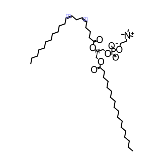 CCCCCCCCCCC/C=C\C/C=C\CCCC(=O)O[C@H](COC(=O)CCCCCCCCCCCCCCCCC)COP(=O)([O-])OCC[N+](C)(C)C